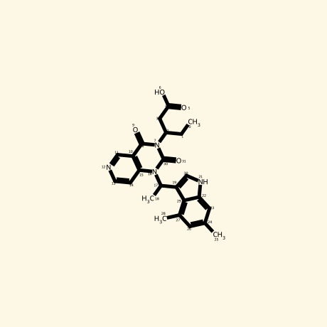 CCC(CC(=O)O)n1c(=O)c2cnccc2n(C(C)c2c[nH]c3cc(C)cc(C)c23)c1=O